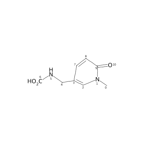 Cn1cc(CNC(=O)O)ccc1=O